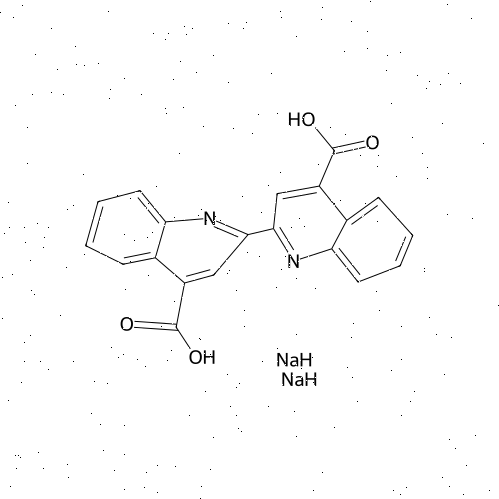 O=C(O)c1cc(-c2cc(C(=O)O)c3ccccc3n2)nc2ccccc12.[NaH].[NaH]